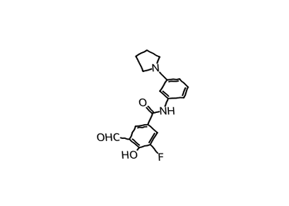 O=Cc1cc(C(=O)Nc2cccc(N3CCCC3)c2)cc(F)c1O